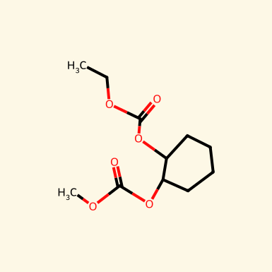 CCOC(=O)OC1CCCCC1OC(=O)OC